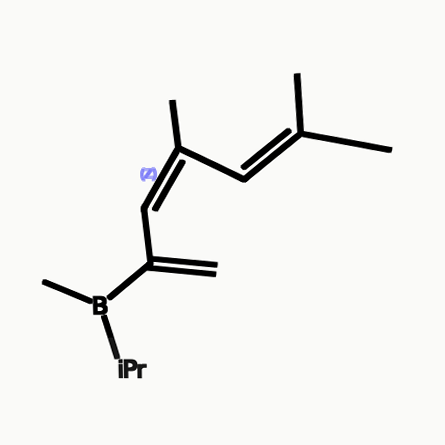 C=C(/C=C(/C)C=C(C)C)B(C)C(C)C